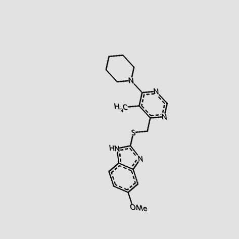 COc1ccc2[nH]c(SCc3ncnc(N4CCCCC4)c3C)nc2c1